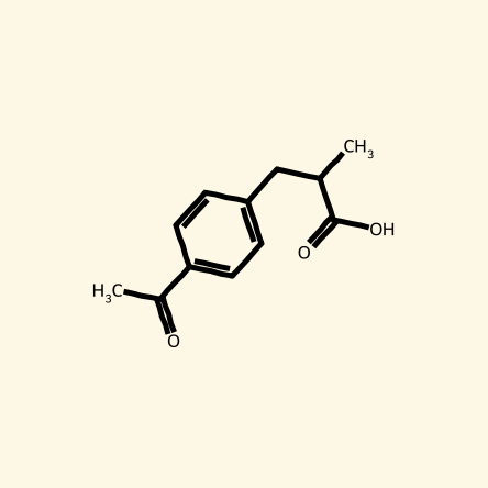 CC(=O)c1ccc(CC(C)C(=O)O)cc1